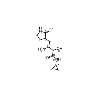 NC(CC1CCNC1=O)C(O)C(=O)NC1CC1